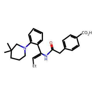 CCC=C(NC(=O)Cc1ccc(C(=O)O)cc1)c1ccccc1N1CCCC(C)(C)C1